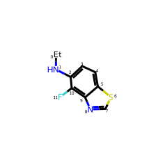 CCNc1ccc2scnc2c1F